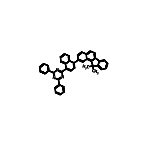 CC1(C)c2ccccc2-c2ccc3ccc(-c4ccc(-c5nc(-c6ccccc6)nc(-c6ccccc6)n5)c5ccccc45)cc3c21